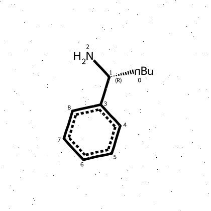 CCCC[C@@H](N)c1ccccc1